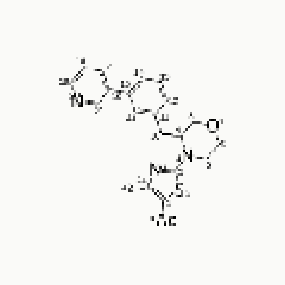 CC(=O)c1sc(N2CCOC[C@@H]2Cc2cccc(-c3cccnc3)c2)nc1C